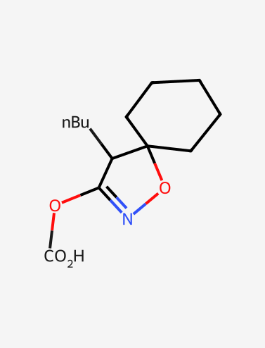 CCCCC1C(OC(=O)O)=NOC12CCCCC2